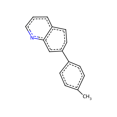 Cc1ccc(-c2ccc3cccnc3c2)cc1